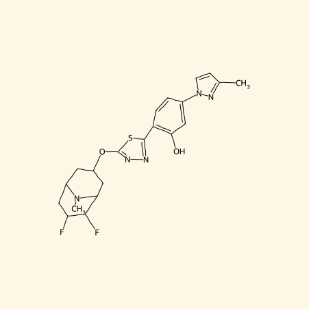 Cc1ccn(-c2ccc(-c3nnc(OC4CC5CC(F)C(F)C(C4)N5C)s3)c(O)c2)n1